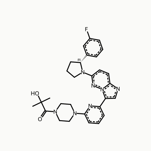 CC(C)(O)C(=O)N1CCN(c2cccc(-c3cnc4ccc(N5CCC[C@@H]5c5cccc(F)c5)nn34)n2)CC1